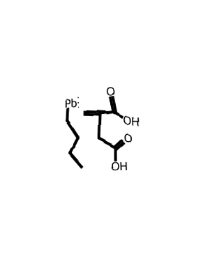 C=C(CC(=O)O)C(=O)O.CCC[CH2][Pb]